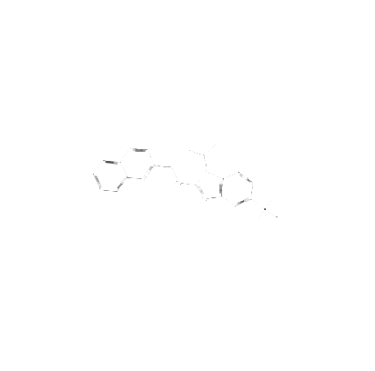 CC(C)n1c(NCc2ccc3ccccc3c2)nc2cc(C(F)(F)F)ccc21